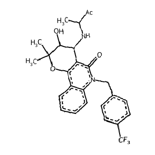 CC(=O)C(C)NC1c2c(c3ccccc3n(Cc3ccc(C(F)(F)F)cc3)c2=O)OC(C)(C)C1O